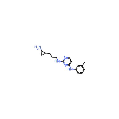 Cc1cccc(Nc2ccnc(NCCCC3CC3N)n2)c1